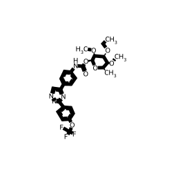 CCO[C@@H]1[C@@H](OC)[C@H](C)O[C@@H](OC(=O)Nc2ccc(-c3cnnc(-c4ccc(OC(F)(F)F)cc4)n3)cc2)[C@@H]1OC